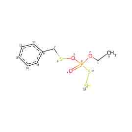 CCOP(=O)(OSCc1ccccc1)SS